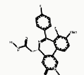 CCNC(=O)C[C@@H]1N=C(c2ccc(F)cc2)c2c(ccc(OC)c2F)-c2cn(C)c(=O)cc21